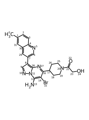 Cc1ccc2ncc(-c3cnn4c(N)c(Br)c(C5CCN(C(=O)CO)CC5)nc34)cc2c1